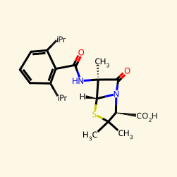 CC(C)c1cccc(C(C)C)c1C(=O)N[C@@]1(C)C(=O)N2[C@@H](C(=O)O)C(C)(C)S[C@@H]21